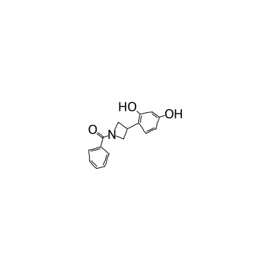 O=C(c1ccccc1)N1CC(c2ccc(O)cc2O)C1